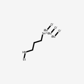 CCC(C)[O-].CCC(C)[O-].CCC(C)[O-].CCNCC[CH2][Sn+3]